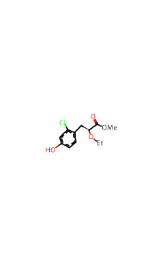 CCO[C@@H](Cc1ccc(O)cc1Cl)C(=O)OC